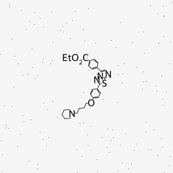 CCOC(=O)c1ccc(-c2cnc3sc(-c4ccc(OCCCCN5CCCCC5)cc4)nn23)cc1